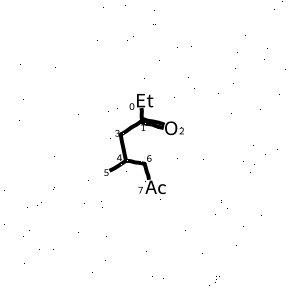 CCC(=O)CC(C)CC(C)=O